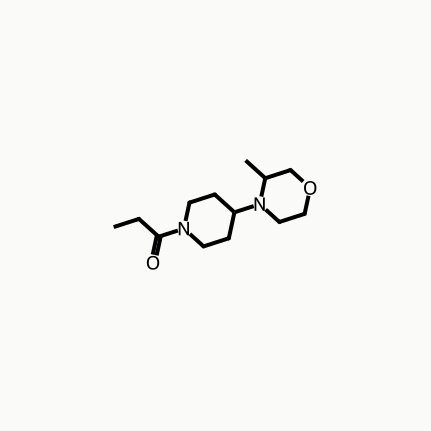 CCC(=O)N1CCC(N2CCOCC2C)CC1